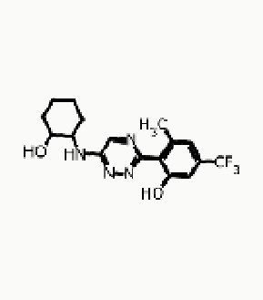 Cc1cc(C(F)(F)F)cc(O)c1-c1ncc(NC2CCCCC2O)nn1